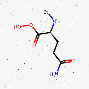 CCN[C@@H](CCC(N)=O)C(=O)OO